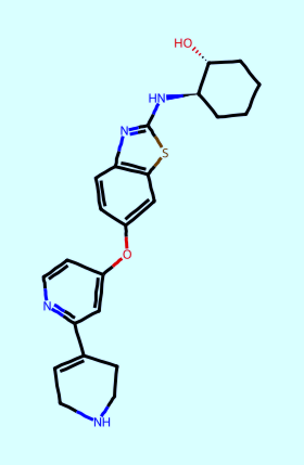 O[C@@H]1CCCC[C@H]1Nc1nc2ccc(Oc3ccnc(C4=CCNCC4)c3)cc2s1